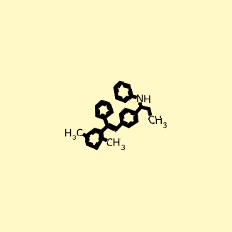 CCC(Nc1ccccc1)c1ccc(C=C(c2ccccc2)c2cc(C)ccc2C)cc1